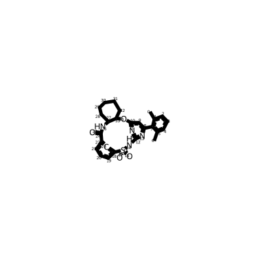 Cc1cccc(C)c1-c1cc2nc(n1)NS(=O)(=O)c1cccc(c1)C(=O)NC1CCCCCC1O2